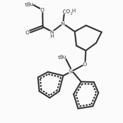 CC(C)(C)OC(=O)NN(C(=O)O)C1CCCC(O[Si](c2ccccc2)(c2ccccc2)C(C)(C)C)C1